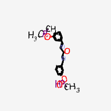 CP(C)Oc1cccc(/C=C/C(=O)/C=C/c2cccc(O[PH](C)=O)c2)c1